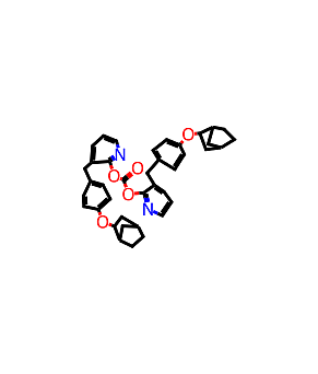 O=C(Oc1ncccc1Cc1ccc(OC2CC3CCC2C3)cc1)Oc1ncccc1Cc1ccc(OC2CC3CCC2C3)cc1